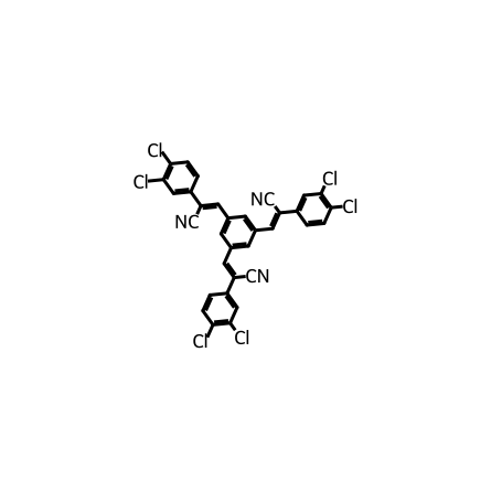 N#C/C(=C\c1cc(/C=C(\C#N)c2ccc(Cl)c(Cl)c2)cc(/C=C(\C#N)c2ccc(Cl)c(Cl)c2)c1)c1ccc(Cl)c(Cl)c1